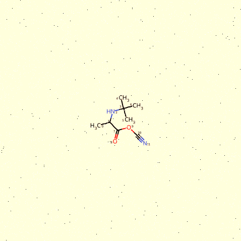 CC(NC(C)(C)C)C(=O)OC#N